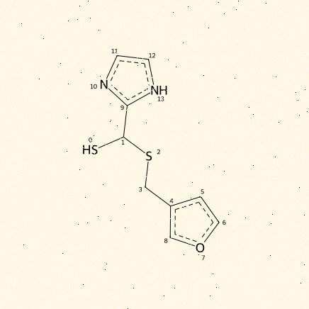 SC(SCc1ccoc1)c1ncc[nH]1